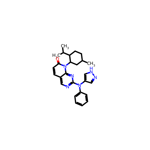 CC1CCC(C(C)C)C(n2c(=O)ccc3cnc(N(c4ccccc4)c4cn[nH]c4)nc32)C1